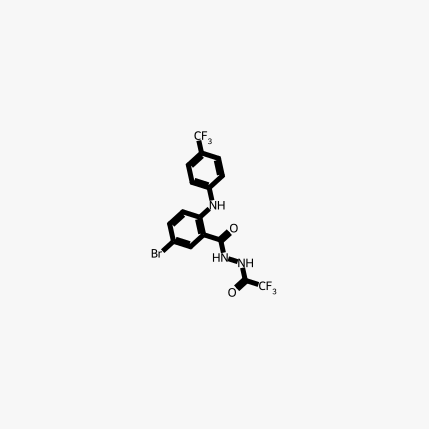 O=C(NNC(=O)C(F)(F)F)c1cc(Br)ccc1Nc1ccc(C(F)(F)F)cc1